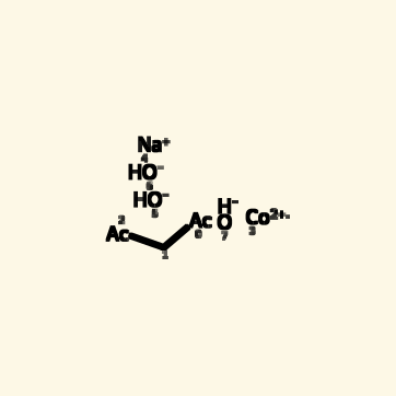 CC(=O)CC(C)=O.[Co+2].[Na+].[OH-].[OH-].[OH-]